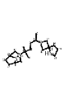 CC(CCC(C)(C)N1CC2CCC(C1)N2C)N1CC2(CCCN2)C1